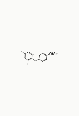 COc1ccc(Cc2[c]cc(C)cc2C)cc1